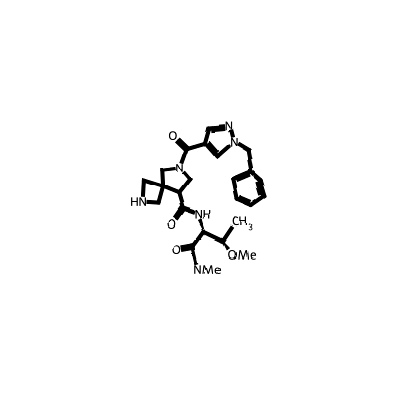 CNC(=O)[C@@H](NC(=O)C1CN(C(=O)c2cnn(Cc3ccccc3)c2)CC12CNC2)[C@@H](C)OC